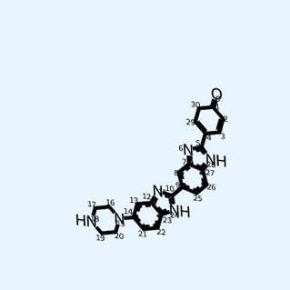 O=C1C=CC(c2nc3cc(-c4nc5cc(N6CCNCC6)ccc5[nH]4)ccc3[nH]2)=CC1